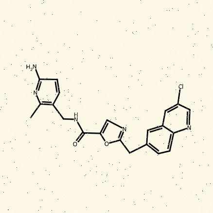 Cc1nc(N)ccc1CNC(=O)c1cnc(Cc2ccc3ncc(Cl)cc3c2)o1